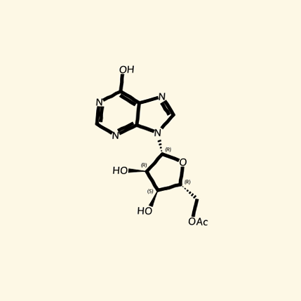 CC(=O)OC[C@H]1O[C@@H](n2cnc3c(O)ncnc32)[C@H](O)[C@@H]1O